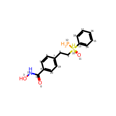 O=C(NO)c1ccc(CC[SH](=O)(P)c2ccccc2)cc1